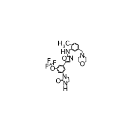 Cc1ccc(CN2CCOCC2)cc1Nc1ncc(-c2cc(OC(F)(F)F)cc(N3CCNC3=O)c2)o1